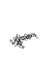 CC[C@H]1CN(C(C)c2ccc3c(c2)OC(C)(C)CO3)[C@H](CC)CN1c1nc(=O)n(C)c2c1nc(CC#N)n2C